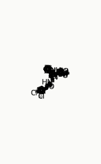 O=C(/C=C/c1ccc(Cl)c(Cl)c1)NCc1cc2c([nH]c3ccccc32)c(-c2ccc3c(c2)OCO3)n1